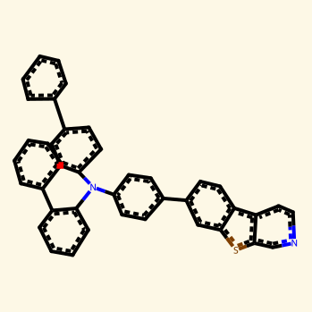 c1ccc(-c2ccc(N(c3ccc(-c4ccc5c(c4)sc4cnccc45)cc3)c3ccccc3-c3ccccc3)cc2)cc1